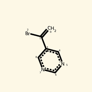 C=C(Br)c1cncnc1